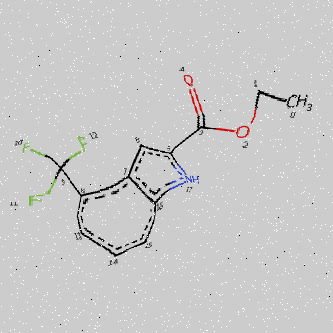 CCOC(=O)c1cc2c(C(F)(F)F)cccc2[nH]1